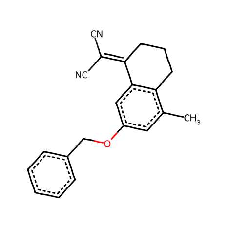 Cc1cc(OCc2ccccc2)cc2c1CCCC2=C(C#N)C#N